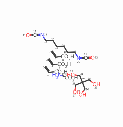 C=CC(=O)O.C=CC(=O)O.C=CC(=O)O.NC(=O)O.O=C=NCCCCCCN=C=O.OCC(CO)(CO)CO